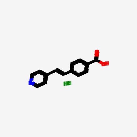 Cl.O=C(O)c1ccc(/C=C/c2ccncc2)cc1